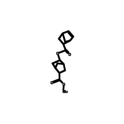 CC(C)(C)OC(=O)C1CC2CC1CC2OC(=O)C1CC2C=CC1C2